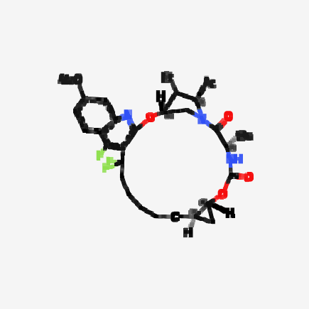 CCC1[C@@H]2CN(C(=O)[C@H](C(C)(C)C)NC(=O)O[C@@H]3C[C@H]3CCCCCC(F)(F)c3c(nc4cc(OC)ccc4c3F)O2)[C@@H]1C(C)=O